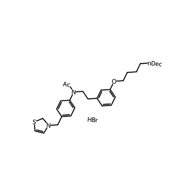 Br.CCCCCCCCCCCCCCOc1cccc(CCN(C(C)=O)c2ccc(CN3C=CSC3)cc2)c1